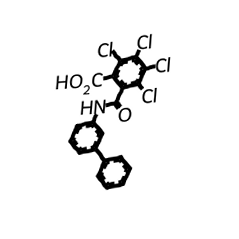 O=C(O)c1c(Cl)c(Cl)c(Cl)c(Cl)c1C(=O)Nc1cccc(-c2ccccc2)c1